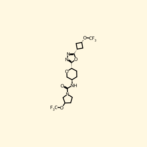 O=C(N[C@@H]1CC[C@@H](c2nnc([C@H]3C[C@@H](OC(F)(F)F)C3)o2)OC1)N1CCC(OC(F)(F)F)C1